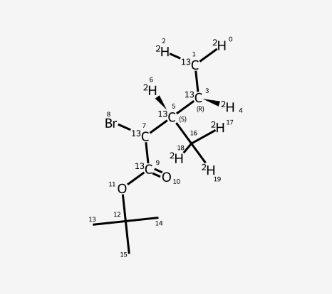 [2H][13CH]([2H])[13C@@H]([2H])[13C@@]([2H])([13CH](Br)[13C](=O)OC(C)(C)C)C([2H])([2H])[2H]